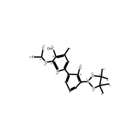 Cc1cc(-c2cccc(B3OC(C)(C)C(C)(C)O3)c2Cl)nc(OC(F)F)c1C=O